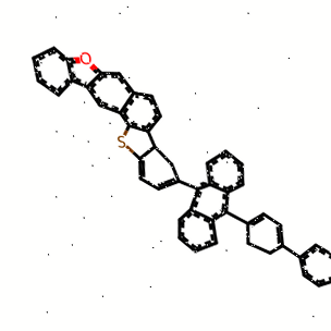 C1=C(c2ccccc2)CCC(c2c3ccccc3c(C3=CC=C4Sc5c(ccc6cc7oc8ccccc8c7cc56)C4C3)c3ccccc23)=C1